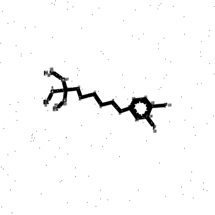 CCOC(CCCCCCc1ccc(F)c(F)c1)(O[SiH3])OCC